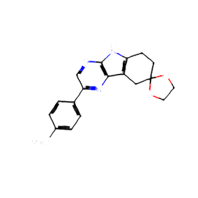 COc1ccc(-c2cnc3[nH]c4c(c3n2)CC2(CC4)OCCO2)cc1